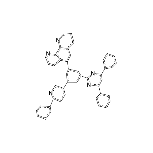 c1ccc(-c2ccc(-c3cc(-c4nc(-c5ccccc5)cc(-c5ccccc5)n4)cc(-c4cc5cccnc5c5ncccc45)c3)cn2)cc1